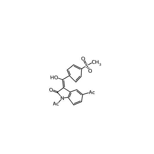 CC(=O)c1ccc2c(c1)/C(=C(/O)c1ccc(S(C)(=O)=O)cc1)C(=O)N2C(C)=O